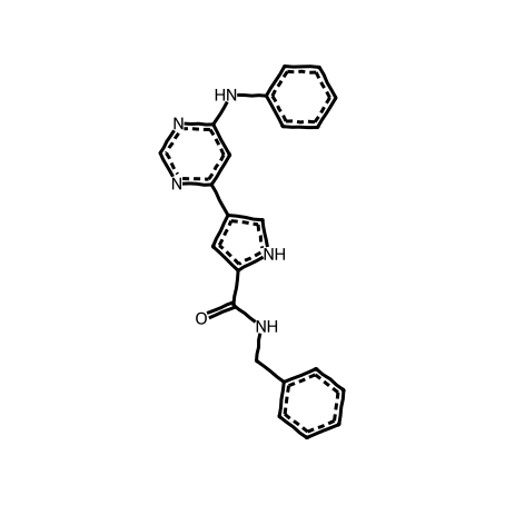 O=C(NCc1ccccc1)c1cc(-c2cc(Nc3ccccc3)ncn2)c[nH]1